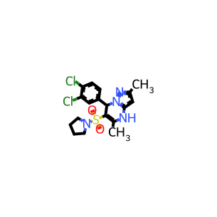 CC1=C(S(=O)(=O)N2CCCC2)C(c2ccc(Cl)c(Cl)c2)n2nc(C)cc2N1